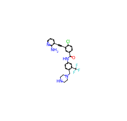 Nc1ncccc1C#Cc1cc(C(=O)Nc2ccc(CN3CCNCC3)c(C(F)(F)F)c2)ccc1Cl